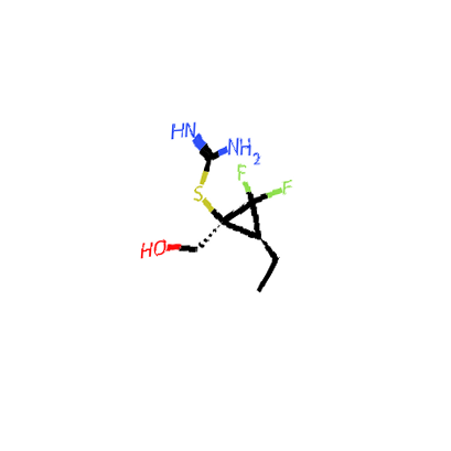 CC[C@@H]1C(F)(F)[C@]1(CO)SC(=N)N